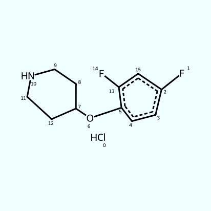 Cl.Fc1ccc(OC2CCNCC2)c(F)c1